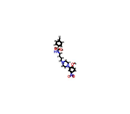 COc1ccc([N+](=O)[O-])cc1N1CCN(CCCCNS(=O)(=O)c2ccc(C)cc2)CC1